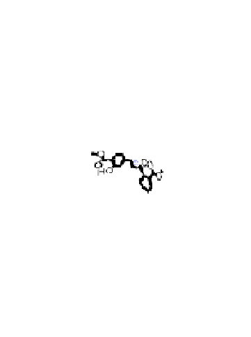 COC(=O)c1ccc(/C=C/C(=O)c2ccccc2C(=O)OC)cc1O